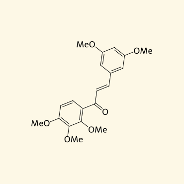 COc1cc(/C=C/C(=O)c2ccc(OC)c(OC)c2OC)cc(OC)c1